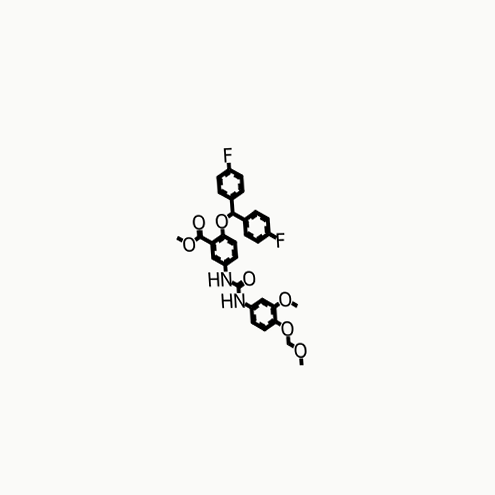 COCOc1ccc(NC(=O)Nc2ccc(OC(c3ccc(F)cc3)c3ccc(F)cc3)c(C(=O)OC)c2)cc1OC